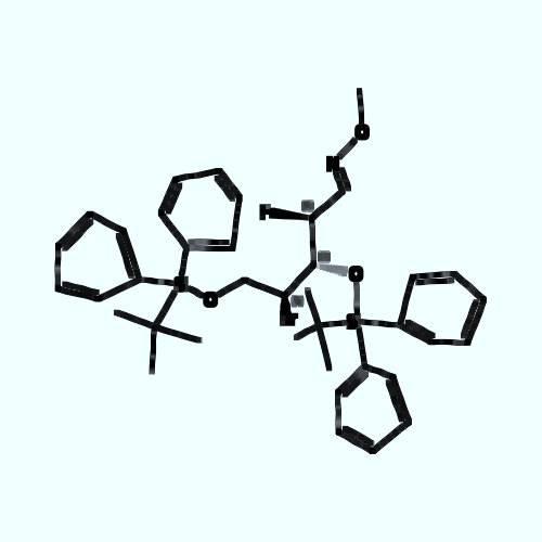 CON=C[C@H](F)[C@H](O[Si](c1ccccc1)(c1ccccc1)C(C)(C)C)[C@@H](Br)CO[Si](c1ccccc1)(c1ccccc1)C(C)(C)C